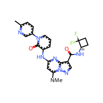 CNc1cc(Nc2cccn(-c3ccc(C)nc3)c2=O)nc2c(C(=O)N[C@@H]3CCC3(F)F)cnn12